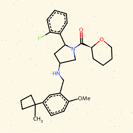 COc1ccc(C2(C)CCC2)cc1CNC1CC(c2ccccc2F)N(C(=O)[C@@H]2CCCCO2)C1